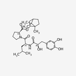 CC(C)C[C@H](NC(=O)[C@H](O)Cc1ccc(O)c(O)c1)C(=O)N1CCC[C@H]1C(=O)OC1CC2CCC1(C)C2(C)C